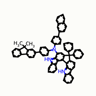 CC1(C)c2ccccc2-c2ccc(-c3ccc(N(c4ccc(-c5ccc6ccccc6c5)cc4)c4cc5c(c6c4[nH]c4ccccc46)-c4c(ccc6c4[nH]c4ccccc46)C5(c4ccccc4)c4ccccc4)cc3)cc21